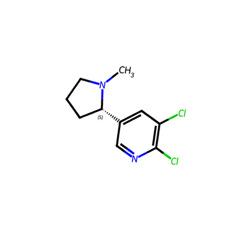 CN1CCC[C@H]1c1cnc(Cl)c(Cl)c1